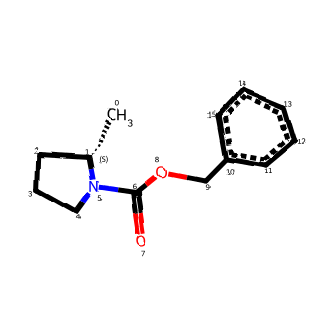 C[C@H]1CCCN1C(=O)OCc1ccccc1